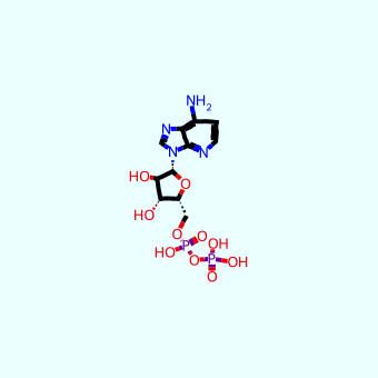 Nc1ccnc2c1ncn2[C@@H]1O[C@H](COP(=O)(O)OP(=O)(O)O)[C@H](O)C1O